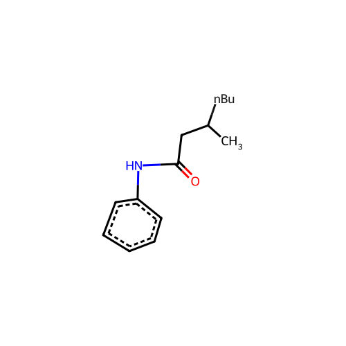 CCCCC(C)CC(=O)Nc1ccccc1